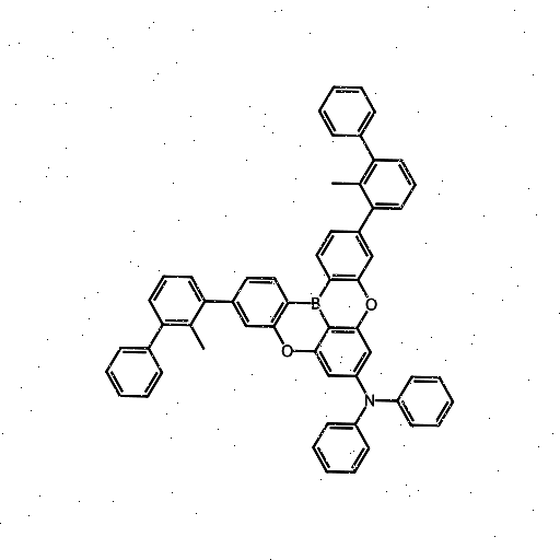 Cc1c(-c2ccccc2)cccc1-c1ccc2c(c1)Oc1cc(N(c3ccccc3)c3ccccc3)cc3c1B2c1ccc(-c2cccc(-c4ccccc4)c2C)cc1O3